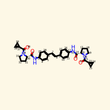 O=C(Nc1ccc(/C=C/c2ccc(NC(=O)[C@@H]3CCCN3C(=O)C3=CC3)cc2)cc1)[C@@H]1CCCN1C(=O)C1=CC1